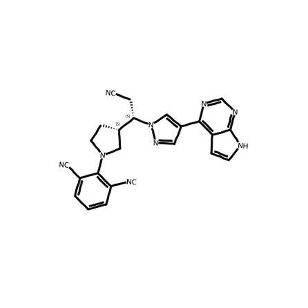 [C-]#[N+]c1cccc(C#N)c1N1CC[C@H]([C@H](CC#N)n2cc(-c3ncnc4[nH]ccc34)cn2)C1